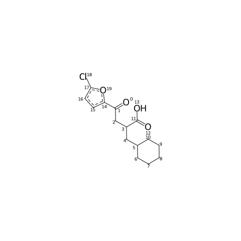 O=C(CC(CC1CCCCC1)C(=O)O)c1ccc(Cl)o1